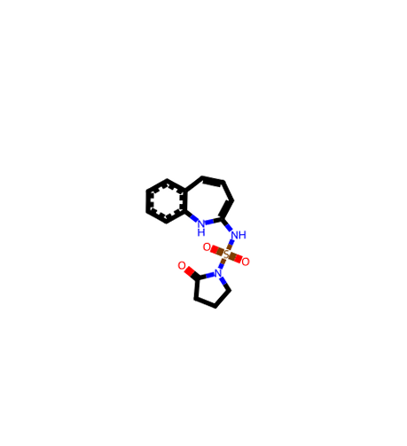 O=C1CCCN1S(=O)(=O)NC1=CC=Cc2ccccc2N1